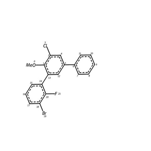 COc1c(Cl)cc(-c2ccccc2)cc1-c1cccc(Br)c1F